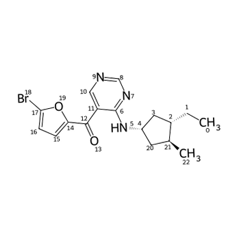 CC[C@H]1C[C@@H](Nc2ncncc2C(=O)c2ccc(Br)o2)C[C@@H]1C